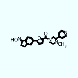 CN1CCN(C(=O)c2ccc(-c3ccc4c(c3)CCC4=NO)o2)CC1c1ccncc1